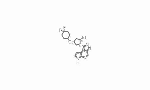 CC[C@@H]1C[C@@H](OC2CCC(F)(F)CC2)C[C@H]1c1nnc2cnc3[nH]ccc3n12